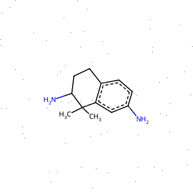 CC1(C)c2cc(N)ccc2CCC1N